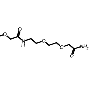 CCOCC(=O)NCCOCCOCC(N)=O